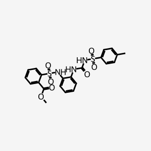 COC(=O)c1ccccc1S(=O)(=O)Nc1ccccc1NC(=O)NS(=O)(=O)c1ccc(C)cc1